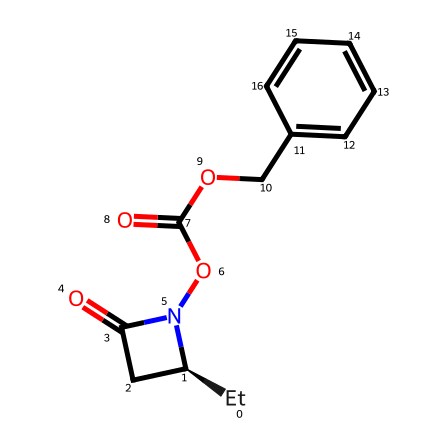 CC[C@H]1CC(=O)N1OC(=O)OCc1ccccc1